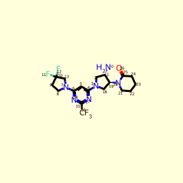 N[C@H]1CN(c2cc(N3CCC(F)(F)C3)nc(C(F)(F)F)n2)C[C@@H]1N1CCCCC1=O